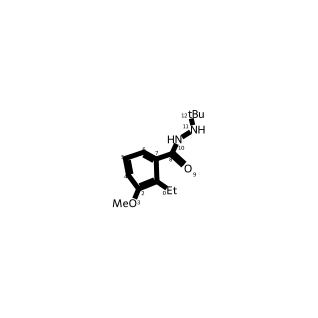 CCc1c(OC)cccc1C(=O)NNC(C)(C)C